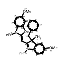 CCCN1/C(=C/C2=[N+](CCC)c3ccc(OC)cc3C2(C)Cc2ccccc2)Oc2cc(OC)ccc21